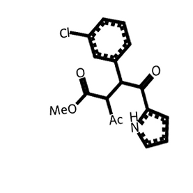 COC(=O)C(C(C)=O)C(C(=O)c1ccc[nH]1)c1cccc(Cl)c1